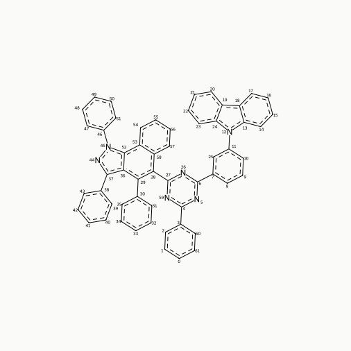 c1ccc(-c2nc(-c3cccc(-n4c5ccccc5c5ccccc54)c3)nc(-c3c(-c4ccccc4)c4c(-c5ccccc5)nn(-c5ccccc5)c4c4ccccc34)n2)cc1